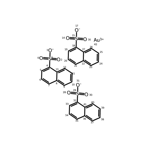 O=S(=O)([O-])c1cccc2ccccc12.O=S(=O)([O-])c1cccc2ccccc12.O=S(=O)([O-])c1cccc2ccccc12.[Au+3]